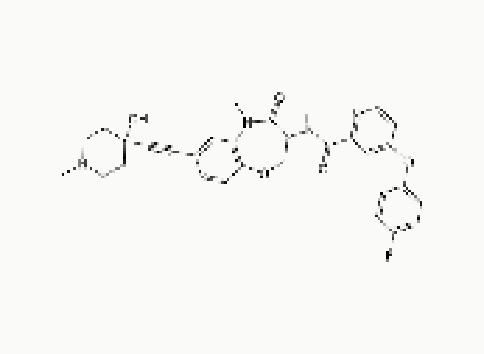 CN1CCC(O)(C#Cc2ccc3c(c2)N(C)C(=O)C(NC(=O)c2cc(Oc4ccc(F)cc4)ccn2)CO3)CC1